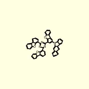 c1ccc2cc3c(cc2c1)c1ccccc1n3-c1cc(-c2nc(-c3cccc4c3oc3ccccc34)nc(-c3cccc4c3oc3ccccc34)n2)c2oc3ccccc3c2c1